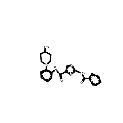 O=C(Nc1nc(C(=O)Nc2ccccc2N2CCC(O)CC2)cs1)c1ccccc1